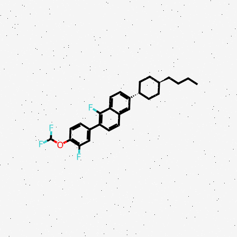 CCCC[C@H]1CC[C@H](c2ccc3c(F)c(-c4ccc(OC(F)F)c(F)c4)ccc3c2)CC1